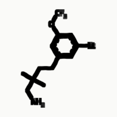 CCc1cc(CCC(C)(C)CN)cc(OC(F)(F)F)c1